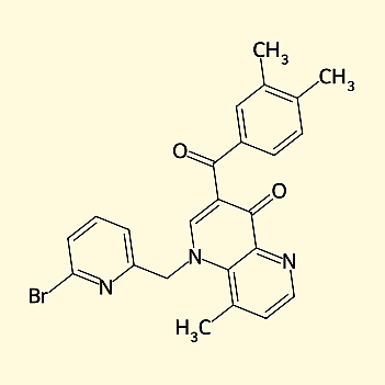 Cc1ccc(C(=O)c2cn(Cc3cccc(Br)n3)c3c(C)ccnc3c2=O)cc1C